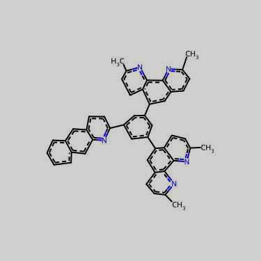 Cc1ccc2cc(-c3cc(-c4ccc5cc6ccccc6cc5n4)cc(-c4cc5ccc(C)nc5c5nc(C)ccc45)c3)c3ccc(C)nc3c2n1